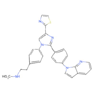 O=C(O)NCCc1ccc(-n2cc(-c3nccs3)nc2-c2ccc(-n3ccc4cccnc43)cc2)cc1